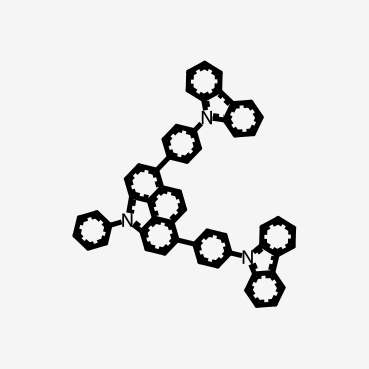 c1ccc(-n2c3ccc(-c4ccc(-n5c6ccccc6c6ccccc65)cc4)c4ccc5c(-c6ccc(-n7c8ccccc8c8ccccc87)cc6)ccc2c5c43)cc1